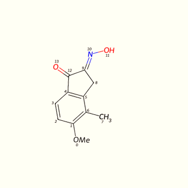 COc1ccc2c(c1C)CC(=NO)C2=O